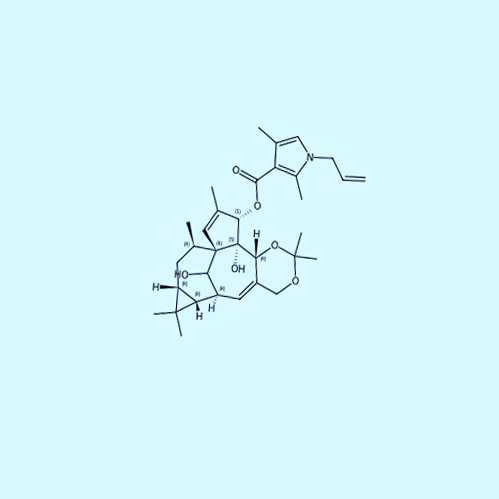 C=CCn1cc(C)c(C(=O)O[C@H]2C(C)=C[C@]34C(O)[C@@H](C=C5COC(C)(C)O[C@H]5[C@]23O)[C@H]2[C@@H](C[C@H]4C)C2(C)C)c1C